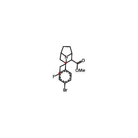 COC(=O)C1C(c2ccc(Br)cc2)CC2CCC1N2CCCF